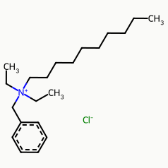 CCCCCCCCCC[N+](CC)(CC)Cc1ccccc1.[Cl-]